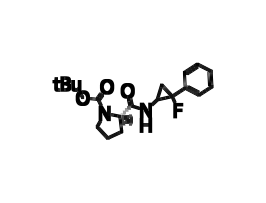 CC(C)(C)OC(=O)N1CCC[C@H]1C(=O)NC1CC1(F)c1ccccc1